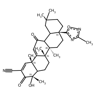 Cc1noc([C@]23CCC(C)(C)CC2C2C(=O)C=C4[C@@]5(C)C=C(C#N)C(=O)[C@@](C)(O)C5CC[C@@]4(C)[C@]2(C)CC3)n1